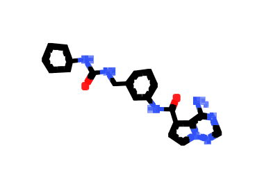 Nc1ncnn2ccc(C(=O)Nc3cccc(CNC(=O)Nc4ccccc4)c3)c12